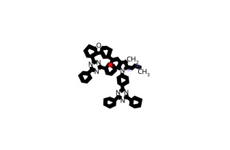 C=c1/c(=C\C=C/C)n(-c2ccc(-c3nc(-c4ccccc4)nc(-c4ccccc4)n3)cc2)c2ccc(-c3ccc4oc5cccc(-c6nc(-c7ccccc7)nc(-c7ccccc7)n6)c5c4c3)cc12